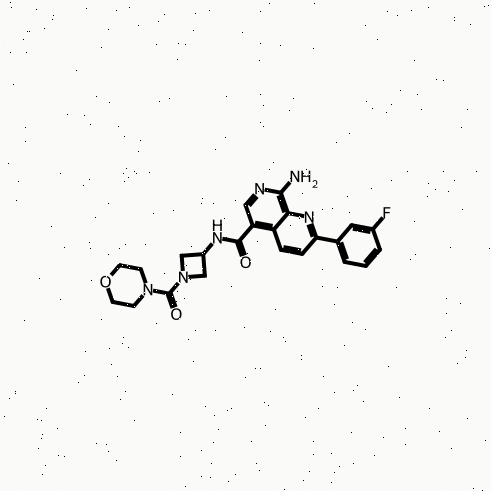 Nc1ncc(C(=O)NC2CN(C(=O)N3CCOCC3)C2)c2ccc(-c3cccc(F)c3)nc12